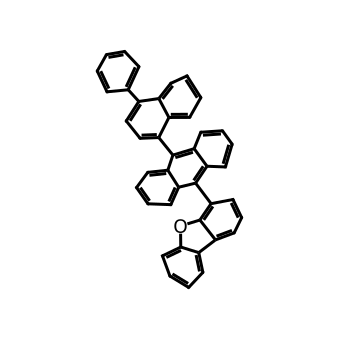 c1ccc(-c2ccc(-c3c4ccccc4c(-c4cccc5c4oc4ccccc45)c4ccccc34)c3ccccc23)cc1